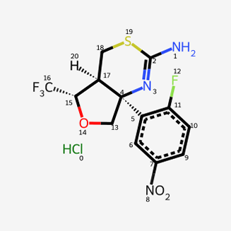 Cl.NC1=N[C@@]2(c3cc([N+](=O)[O-])ccc3F)CO[C@H](C(F)(F)F)[C@H]2CS1